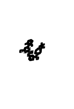 Cc1cccc(C)c1-c1cc(Cl)nc(NSc2cccc(C(=O)N3CCCN(C(C)C(C)(C)C)CC3)c2)n1